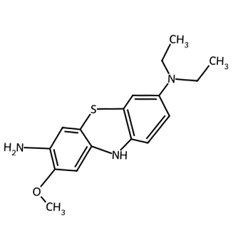 CCN(CC)c1ccc2c(c1)Sc1cc(N)c(OC)cc1N2